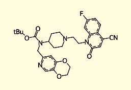 CC(C)(C)OC(=O)N(Cc1cc2c(cn1)OCCO2)C1CCN(CCn2c(=O)cc(C#N)c3ccc(F)cc32)CC1